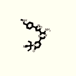 CCC(C#N)(CC)n1cc(-c2cnc(N)c(-c3cc(-c4ccc(CNC)cc4)no3)n2)ccc1=O